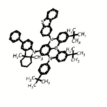 CC(C)(C)c1ccc(N2c3ccc(C(C)(C)C)cc3B3c4cc(C(C)(C)C)ccc4N(c4ccc5sc6ccccc6c5c4)c4cc(N5c6ccc(-c7ccccc7)cc6C6(C)CCCCC56C)cc2c43)cc1